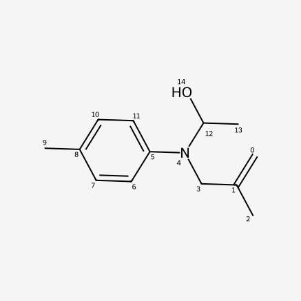 C=C(C)CN(c1ccc(C)cc1)C(C)O